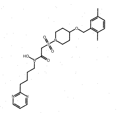 Cc1ccc(C)c(COC2CCN(S(=O)(=O)CC(=O)N(O)CCCCc3ncccn3)CC2)c1